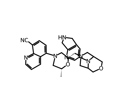 C[C@@H]1CN(c2ccc(C#N)c3ncccc23)C[C@H](CN2CC3COCC(C2)N3c2cnc3c(c2)CNC3)O1